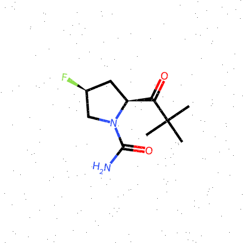 CC(C)(C)C(=O)[C@@H]1C[C@H](F)CN1C(N)=O